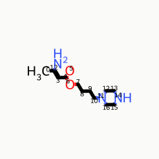 CC(N)=CC(=O)OCCCCN1CCNCC1